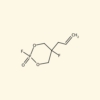 C=CCC1(F)COP(=O)(F)OC1